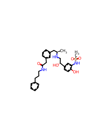 C[C@H](Cc1cccc(CC(=O)NCCCc2ccccc2)c1)NC[C@@H](O)c1ccc(O)c(NS(C)(=O)=O)c1